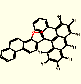 [2H]c1c([2H])c([2H])c2c(-c3coc4c3ccc3c5ccccc5ccc34)c3c(-c4ccccc4)c([2H])c([2H])c([2H])c3c([2H])c2c1[2H]